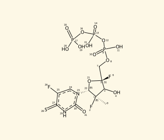 C[C@@]1(F)C(O)[C@@](F)(COP(=O)(O)OP(=O)(O)OP(=O)(O)O)O[C@H]1n1cc(F)c(=S)[nH]c1=O